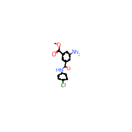 COC(=O)c1cc(N)cc(C(=O)Nc2ccc(Cl)cc2)c1